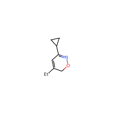 CCC1=CC(C2CC2)=NOC1